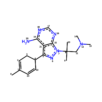 CC1=CCC(c2nn(C(C)(C)CN(C)C)c3ncnc(N)c23)C=C1